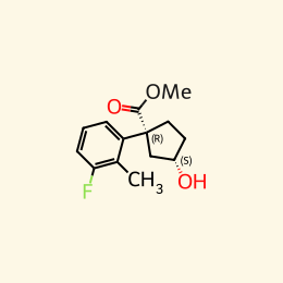 COC(=O)[C@]1(c2cccc(F)c2C)CC[C@H](O)C1